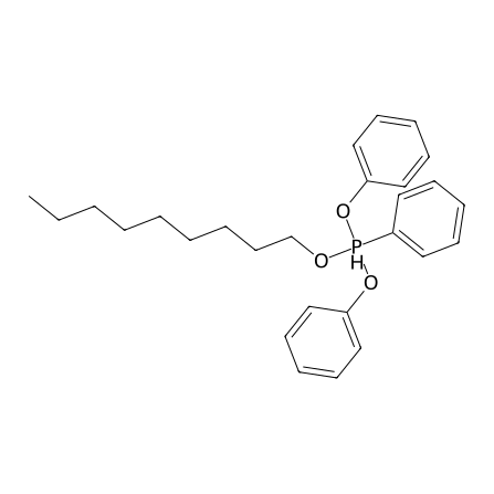 CCCCCCCCCO[PH](Oc1ccccc1)(Oc1ccccc1)c1ccccc1